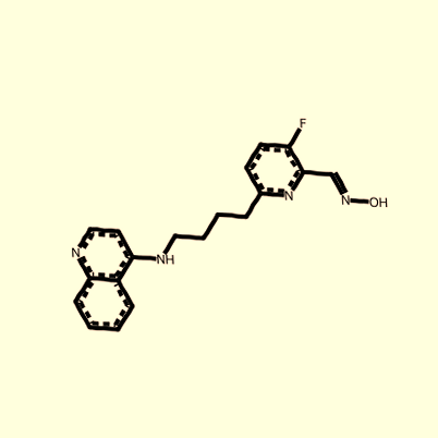 ON=Cc1nc(CCCCNc2ccnc3ccccc23)ccc1F